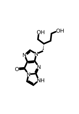 O=c1c2ncn(C[C@H](CO)CCO)c2nc2[nH]ccn12